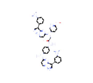 COc1ccc(N(CC(=O)Nc2ccc(Nc3ccn4ncc(-c5cccc(N(C)C)c5)c4n3)cc2)c2ccn3ncc(-c4cccc(N(C)C)c4)c3n2)cn1